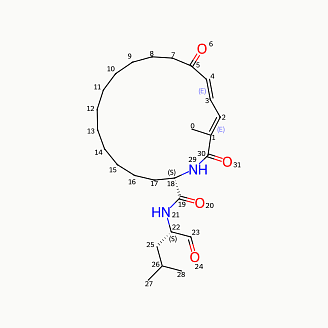 C/C1=C\C=C\C(=O)CCCCCCCCCCC[C@@H](C(=O)N[C@H](C=O)CC(C)C)NC1=O